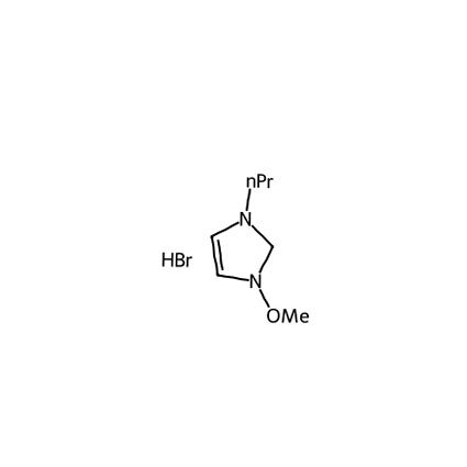 Br.CCCN1C=CN(OC)C1